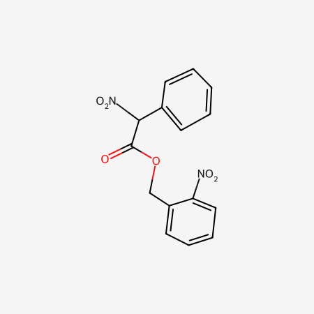 O=C(OCc1ccccc1[N+](=O)[O-])C(c1ccccc1)[N+](=O)[O-]